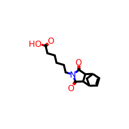 O=C(O)CCCCCN1C(=O)C2C3C=CC(C3)C2C1=O